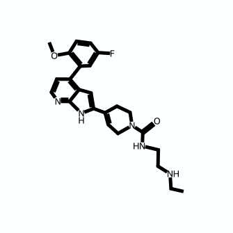 CCNCCNC(=O)N1CC=C(c2cc3c(-c4cc(F)ccc4OC)ccnc3[nH]2)CC1